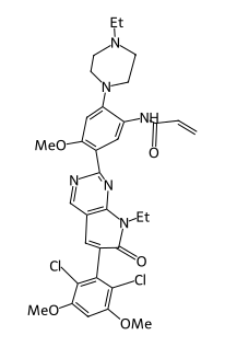 C=CC(=O)Nc1cc(-c2ncc3cc(-c4c(Cl)c(OC)cc(OC)c4Cl)c(=O)n(CC)c3n2)c(OC)cc1N1CCN(CC)CC1